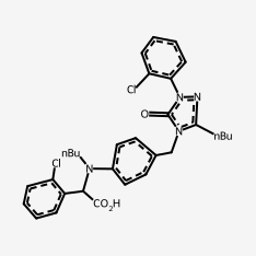 CCCCc1nn(-c2ccccc2Cl)c(=O)n1Cc1ccc(N(CCCC)C(C(=O)O)c2ccccc2Cl)cc1